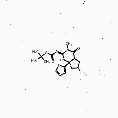 CN1CC2C(=O)N(C)/C(=N/C(=O)OC(C)(C)C)NC2(c2cccs2)C1